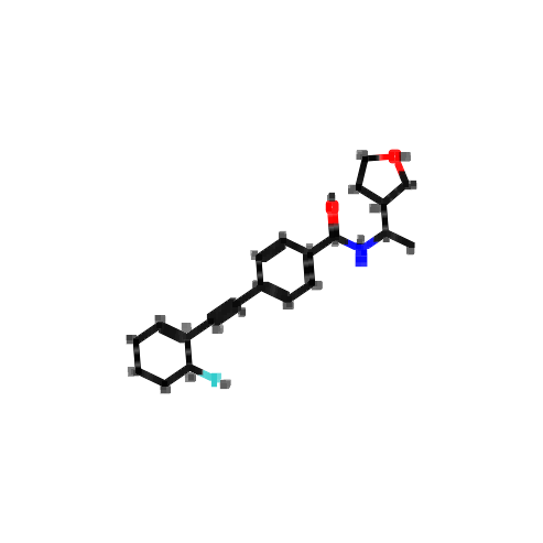 CC(NC(=O)c1ccc(C#CC2=CCCCC2F)cc1)C1CCOC1